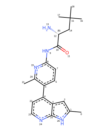 Cc1cc2c(-c3ccc(NC(=O)[C@H](N)CC(C)(C)C)nc3C)ccnc2[nH]1